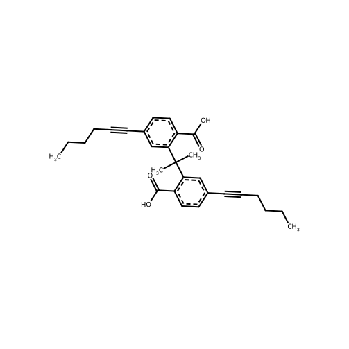 CCCCC#Cc1ccc(C(=O)O)c(C(C)(C)c2cc(C#CCCCC)ccc2C(=O)O)c1